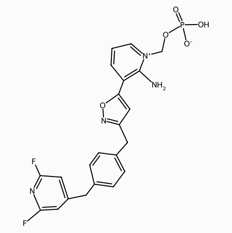 Nc1c(-c2cc(Cc3ccc(Cc4cc(F)nc(F)c4)cc3)no2)ccc[n+]1COP(=O)([O-])O